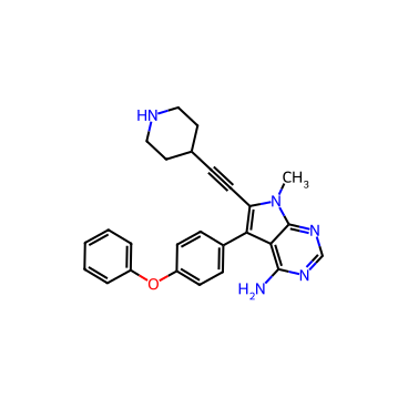 Cn1c(C#CC2CCNCC2)c(-c2ccc(Oc3ccccc3)cc2)c2c(N)ncnc21